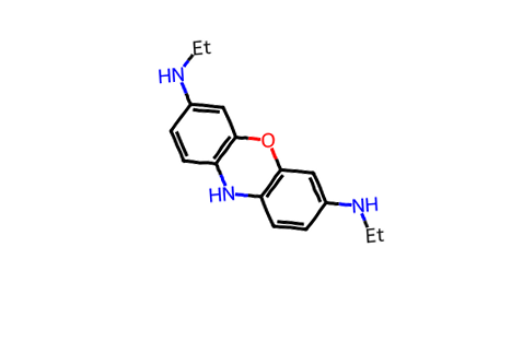 CCNc1ccc2c(c1)Oc1cc(NCC)ccc1N2